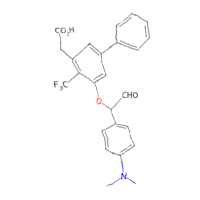 CN(C)c1ccc(C(C=O)Oc2cc(-c3ccccc3)cc(CC(=O)O)c2C(F)(F)F)cc1